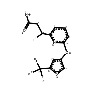 [NH]C(=O)CC(F)c1cccc(Oc2csc(C(F)(F)F)c2)n1